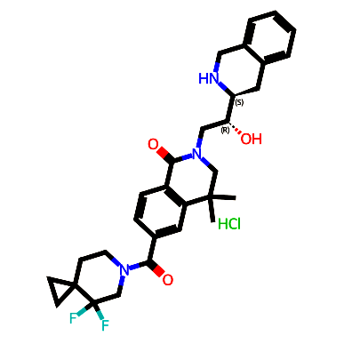 CC1(C)CN(C[C@@H](O)[C@@H]2Cc3ccccc3CN2)C(=O)c2ccc(C(=O)N3CCC4(CC4)C(F)(F)C3)cc21.Cl